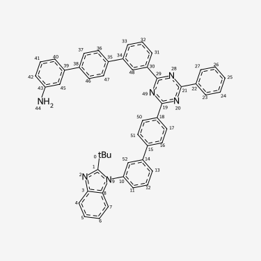 CC(C)(C)c1nc2ccccc2n1-c1cccc(-c2ccc(-c3nc(-c4ccccc4)nc(-c4cccc(-c5ccc(-c6cccc(N)c6)cc5)c4)n3)cc2)c1